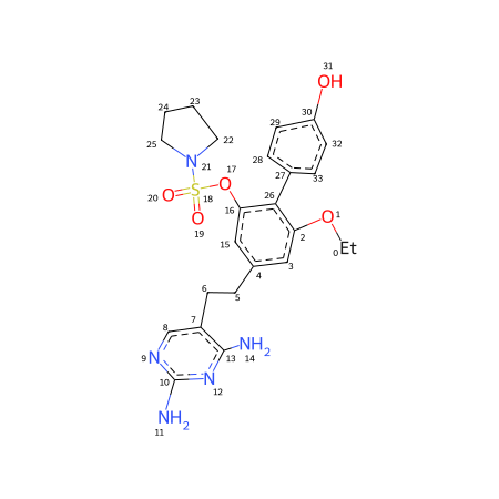 CCOc1cc(CCc2cnc(N)nc2N)cc(OS(=O)(=O)N2CCCC2)c1-c1ccc(O)cc1